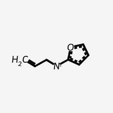 C=CC[N]c1ccco1